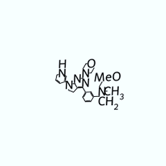 C=C(c1cccc(-c2nc(N3CCOCC3)nc3c2CCN3C2=CNCC=C2)c1)N(C)CCOC